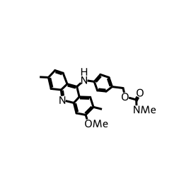 CNC(=O)OCc1ccc(Nc2c3ccc(C)cc3nc3cc(OC)c(C)cc23)cc1